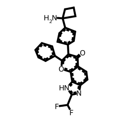 NC1(c2ccc(-c3c(-c4ccccc4)oc4c(ccc5nc(C(F)F)[nH]c54)c3=O)cc2)CCC1